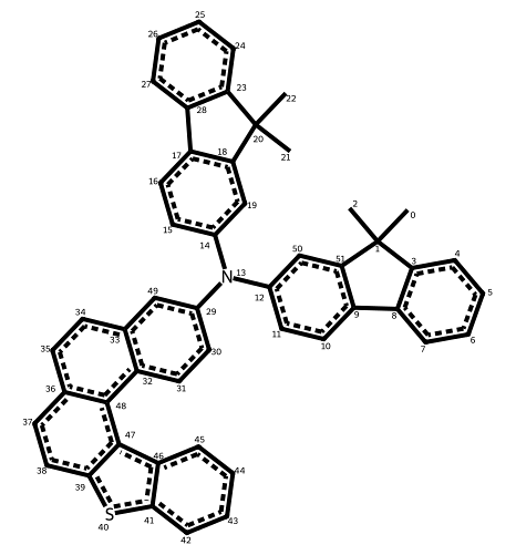 CC1(C)c2ccccc2-c2ccc(N(c3ccc4c(c3)C(C)(C)c3ccccc3-4)c3ccc4c(ccc5ccc6sc7ccccc7c6c54)c3)cc21